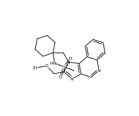 CCOCc1nc2cnc3ccccc3c2n1CC1(NS(C)(=O)=O)CCCCC1